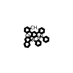 Cc1cccc(C)c1-c1cc2c3c4c1c1ccc5ccccc5c1n4-c1ccccc1B3N(c1ccccc1)c1ccccc1-2